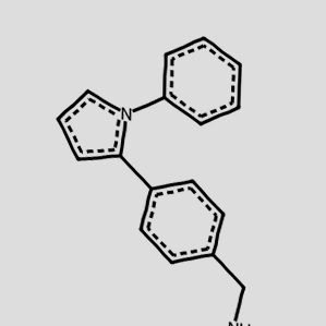 NCc1ccc(-c2cccn2-c2ccccc2)cc1